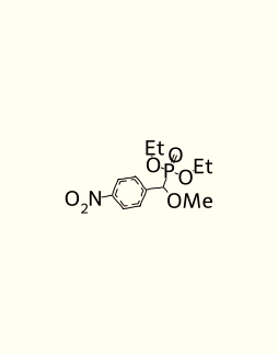 CCOP(=O)(OCC)C(OC)c1ccc([N+](=O)[O-])cc1